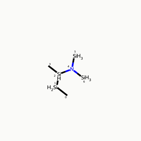 C[SiH2][SiH](C)N([SiH3])[SiH3]